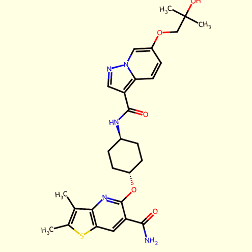 Cc1sc2cc(C(N)=O)c(O[C@H]3CC[C@H](NC(=O)c4cnn5cc(OCC(C)(C)O)ccc45)CC3)nc2c1C